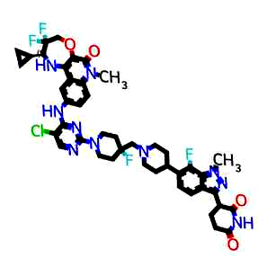 Cn1nc(C2CCC(=O)NC2=O)c2ccc(C3CCN(CC4(F)CCN(c5ncc(Cl)c(Nc6ccc7c(c6)c6c(c(=O)n7C)OCC(F)(F)[C@H](C7CC7)N6)n5)CC4)CC3)c(F)c21